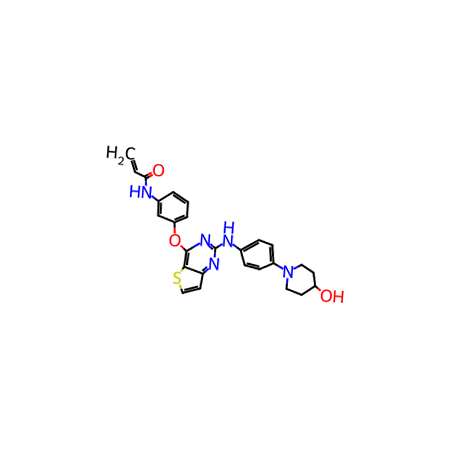 C=CC(=O)Nc1cccc(Oc2nc(Nc3ccc(N4CCC(O)CC4)cc3)nc3ccsc23)c1